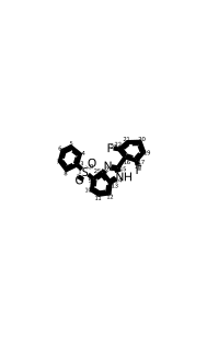 O=S(=O)(c1ccccc1)c1cccc2[nH]c(-c3c(F)cccc3F)nc12